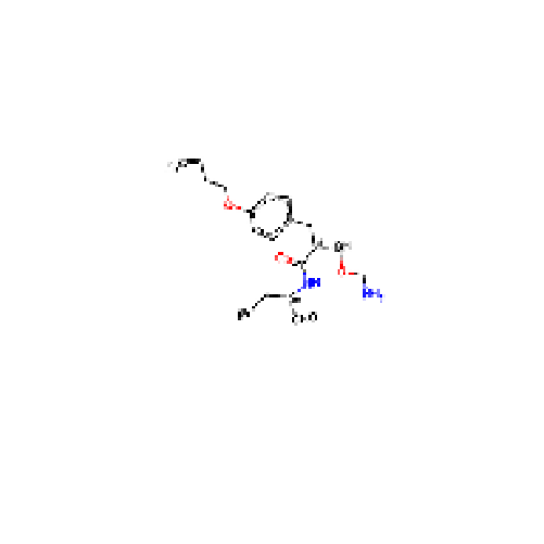 C=CCCOc1ccc(C[C@H](BOCN)C(=O)N[C@H](C=O)CC(C)C)cc1